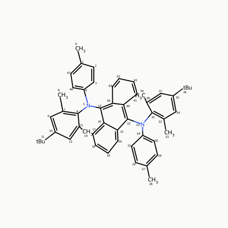 Cc1ccc(N(c2c(C)cc(C(C)(C)C)cc2C)c2c3ccccc3c(N(c3ccc(C)cc3)c3c(C)cc(C(C)(C)C)cc3C)c3ccccc23)cc1